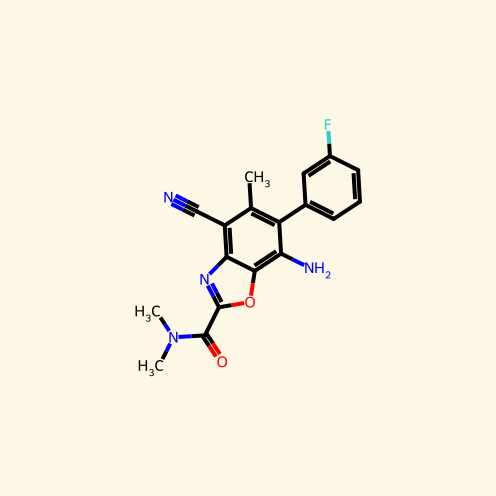 Cc1c(-c2cccc(F)c2)c(N)c2oc(C(=O)N(C)C)nc2c1C#N